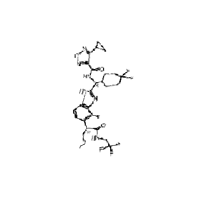 COC[C@H](C(=O)NCC(F)(F)F)c1ccc2[nH]c([C@@H](NC(=O)c3nonc3C3CC3)C3CCC(F)(F)CC3)nc2c1F